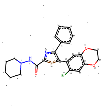 O=C(NN1CCCCC1)c1nc(-c2ccccc2)c(-c2cc3c(cc2Br)OCCO3)s1